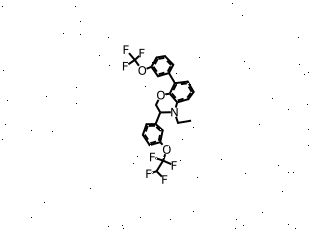 CCN1c2cccc(-c3cccc(OC(F)(F)F)c3)c2OCC1c1cccc(OC(F)(F)C(F)F)c1